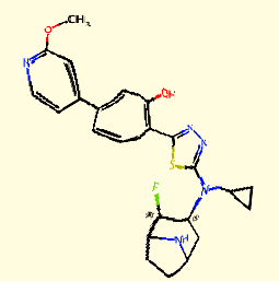 COc1cc(-c2ccc(-c3nnc(N(C4CC4)[C@H]4CC5CCC(N5)[C@H]4F)s3)c(O)c2)ccn1